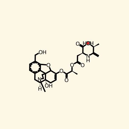 C=C(N[C@@H](CC(=O)O[C@@H](C)C(=O)OC1=CC[C@@]2(O)[C@H]3Cc4ccc(CO)c5c4C2(CCN3C)C1O5)C(=O)O)[C@H](C)O